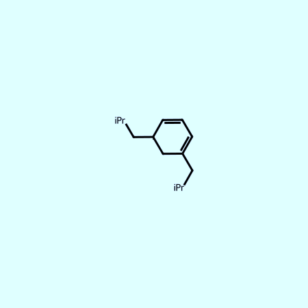 CC(C)C[C]1C=CC=C(CC(C)C)C1